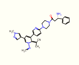 C=NN1C=C(c2cnn(C)c2)C=C(c2ccc(N3CCN(C(=O)C[C@H](N)c4ccccc4)CC3)nc2)/C1=C(/C)C#N